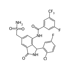 NS(=O)(=O)Cc1cc(NC(=O)c2cc(F)cc(C(F)(F)F)c2)c2c(c1)C(=O)NC2c1cc(F)ccc1Cl